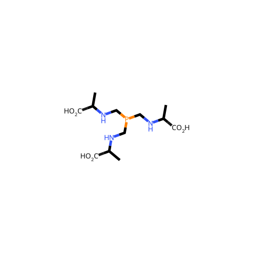 CC(NCP(CNC(C)C(=O)O)CNC(C)C(=O)O)C(=O)O